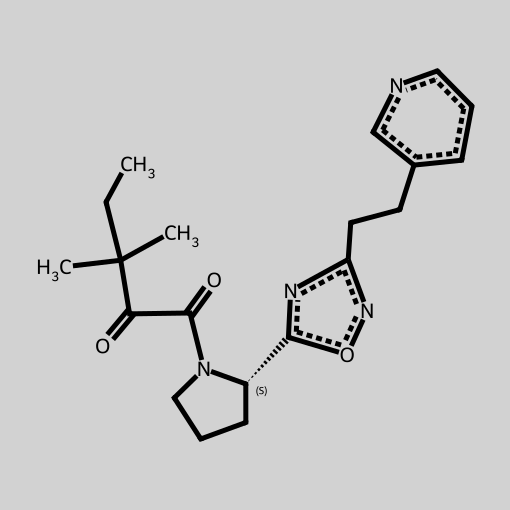 CCC(C)(C)C(=O)C(=O)N1CCC[C@H]1c1nc(CCc2cccnc2)no1